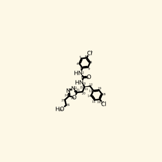 O=C(Nc1ccc(Cl)cc1)N[C@@H](Cc1ccc(Cl)cc1)Cc1nnc(CCO)o1